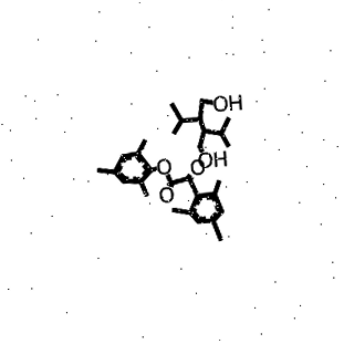 CC(C)C(CO)C(CO)C(C)C.Cc1cc(C)c(OC(=O)C(=O)c2c(C)cc(C)cc2C)c(C)c1